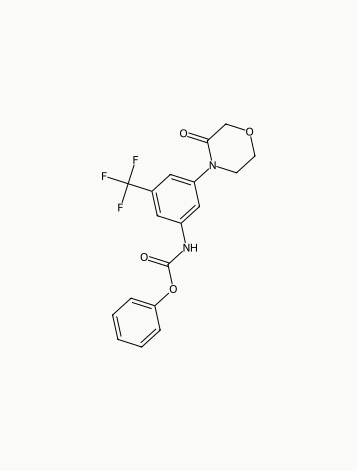 O=C(Nc1cc(N2CCOCC2=O)cc(C(F)(F)F)c1)Oc1ccccc1